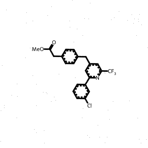 COC(=O)Cc1ccc(Cc2cc(-c3cccc(Cl)c3)nc(C(F)(F)F)c2)cc1